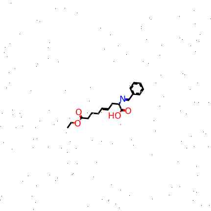 CCOC(=O)CCCC=CCC(N=Cc1ccccc1)C(=O)O